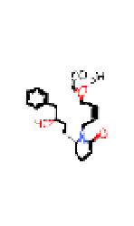 O=C(O)COC/C=C\CN1C(=O)CCC[C@@H]1CCC(O)Cc1ccccc1